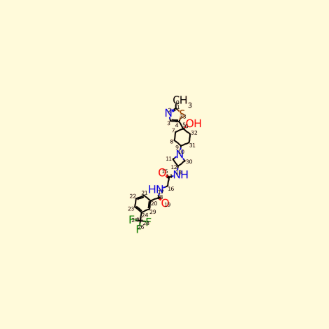 Cc1ncc(C2(O)CCC(N3CC(NC(=O)CNC(=O)c4cccc(C(F)(F)F)c4)C3)CC2)s1